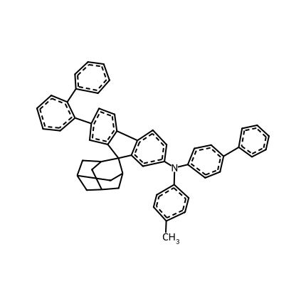 Cc1ccc(N(c2ccc(-c3ccccc3)cc2)c2ccc3c(c2)C2(c4cc(-c5ccccc5-c5ccccc5)ccc4-3)C3CC4CC(C3)CC2C4)cc1